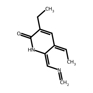 C=N/C=c1/[nH]c(=O)c(CC)c/c1=C/C